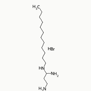 Br.CCCCCCCCCCCCNC(N)CCN